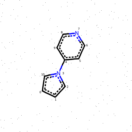 c1ccn(-c2ccncc2)c1